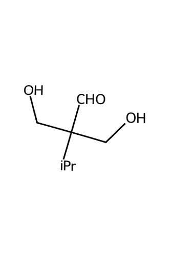 CC(C)C(C=O)(CO)CO